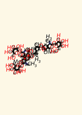 C/C=C1/[C@H](O[C@@H]2O[C@H](CO)[C@@H](O)[C@H](O)[C@H]2O)OC=C(C(=O)OC)[C@H]1CC(=O)OC[C@@H]1[C@@H](C)[C@@H](OC(=O)C[C@@H]2C(C(=O)OC)=CO[C@@H](O[C@@H]3O[C@H](CO)[C@@H](O)[C@H](O)[C@H]3O)/C2=C/C)C[C@H]1[C@@H](C)COC(=O)C[C@@H]1C(C(=O)OC)=CO[C@@H](O[C@@H]2O[C@H](CO)[C@@H](O)[C@H](O)[C@H]2O)/C1=C/C